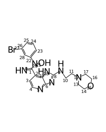 N=C(c1ccnc2nc(NCCN3CCOCC3)[nH]c12)N(O)c1cccc(Br)c1